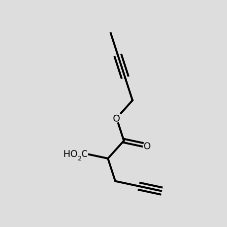 C#CCC(C(=O)O)C(=O)OCC#CC